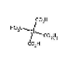 O=[C](O)[Co]([C](=O)O)([C](=O)O)[C](=O)O.[KH]